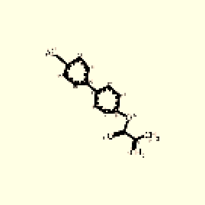 C=C(C)C(=O)Oc1ccc(-c2ccc(C(C)=O)cc2)cc1